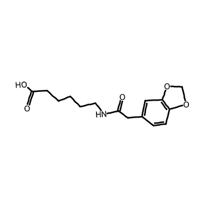 O=C(O)CCCCCNC(=O)Cc1ccc2c(c1)OCO2